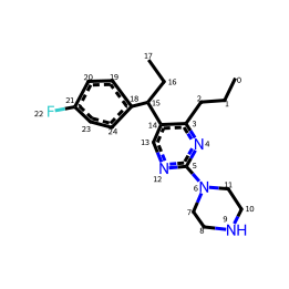 CCCc1nc(N2CCNCC2)ncc1C(CC)c1ccc(F)cc1